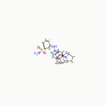 COc1cnc(Nc2cccc(S(N)(=O)=O)c2)nc1N1CC2CCC(C1)N2c1ccccc1